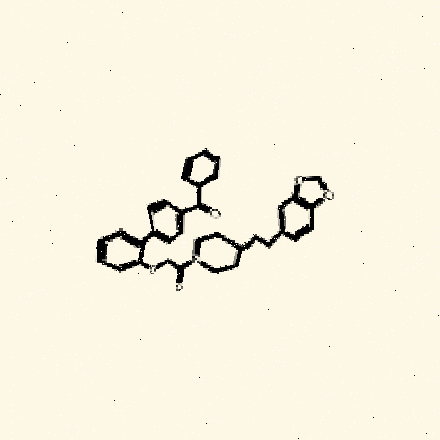 O=C(c1ccccc1)c1ccc(-c2ccccc2OCC(=O)N2CCC(CCc3ccc4c(c3)OCO4)CC2)cc1